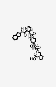 O=C(NS(=O)(=O)N1CCN(C(=O)Nc2nccnc2C(=O)NC2Cc3ccccc3C2)CC1)OCC1CCCN1C(=O)O